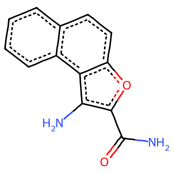 NC(=O)c1oc2ccc3ccccc3c2c1N